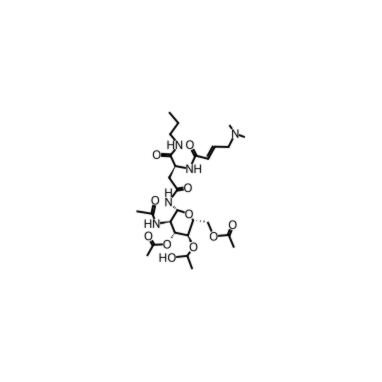 CCCNC(=O)[C@H](CC(=O)N[C@@H]1O[C@H](COC(C)=O)[C@@H](OC(C)O)[C@H](OC(C)=O)[C@H]1NC(C)=O)NC(=O)/C=C/CN(C)C